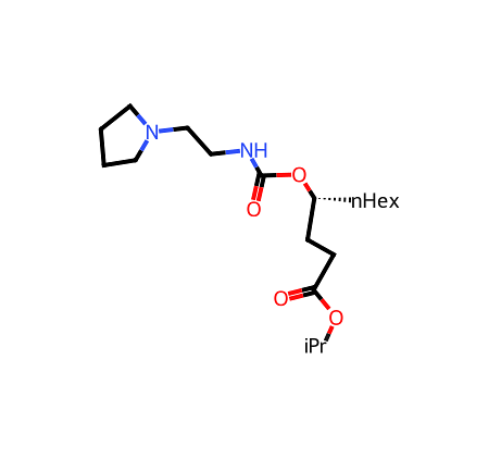 [CH2]C([CH2])OC(=O)CC[C@@H](CCCCCC)OC(=O)NCCN1CCCC1